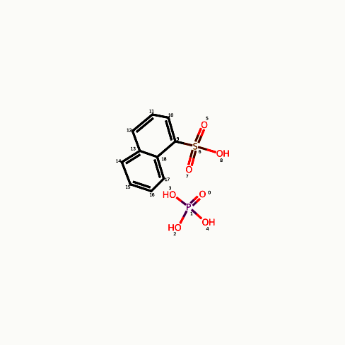 O=P(O)(O)O.O=S(=O)(O)c1cccc2ccccc12